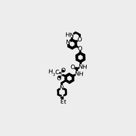 CCN1CCN(Cc2ccc(NC(=O)Nc3ccc(Oc4ccnc5c4OCCN5)cc3)cc2S(C)(=O)=O)CC1